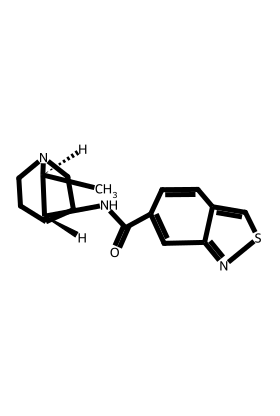 C[C@H]1[C@H](NC(=O)c2ccc3csnc3c2)C2CCN1CC2